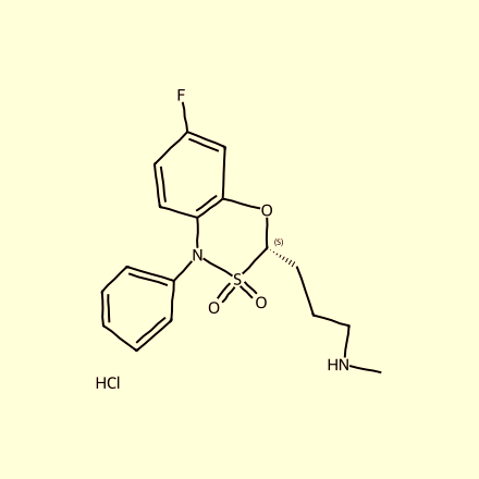 CNCCC[C@H]1Oc2cc(F)ccc2N(c2ccccc2)S1(=O)=O.Cl